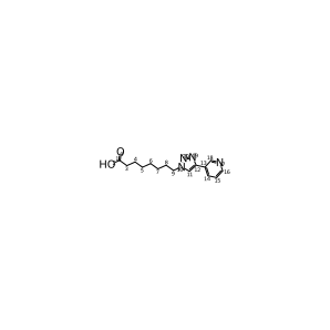 O=C(O)CCCCCCCn1cc(-c2cccnc2)nn1